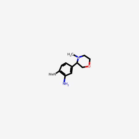 CNc1ccc(C2COCCN2C)cc1N